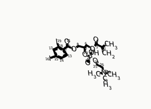 C=C(C)C(=O)OCC(COC(=O)c1ccc(I)cc1I)OP(=O)(O)OCC[N+](C)(C)C